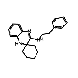 c1ccc(CCNC2=Nc3ccccc3NC23CCCCC3)cc1